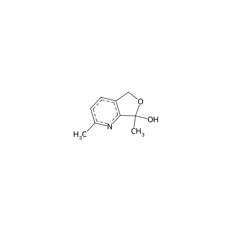 Cc1ccc2c(n1)C(C)(O)OC2